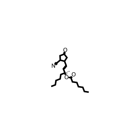 CCCCCCC(=O)O[C@](C)(C=CC1CC(=O)CC1C#N)CCCCC